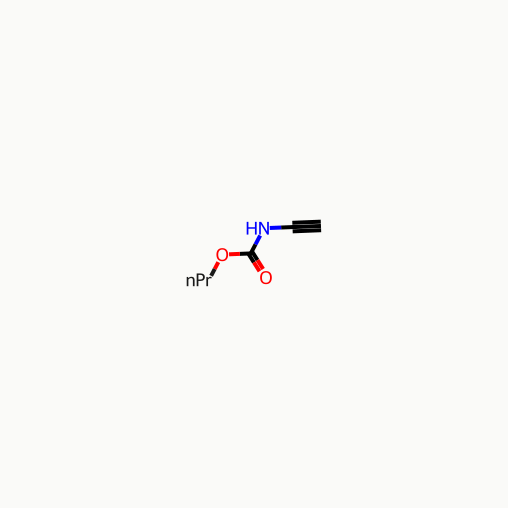 C#CNC(=O)OCCC